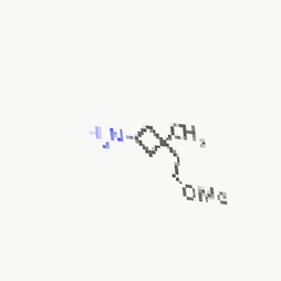 COCC[C@]1(C)C[C@H](N)C1